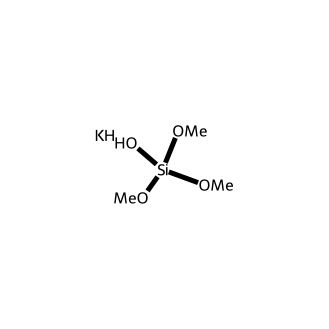 CO[Si](O)(OC)OC.[KH]